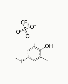 C[I+]c1cc(C)c(O)c(C)c1.O=S(=O)([O-])C(F)(F)F